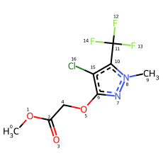 COC(=O)COc1nn(C)c(C(F)(F)F)c1Cl